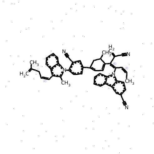 C=C(C)C/C=C\c1c(C)n(-c2ccc(C3=CC=C(/C(C(=C)C#N)=C(/C=C\C)n4c5ccccc5c5cc(C#N)ccc54)C(C)C3)cc2C#N)c2ccccc12